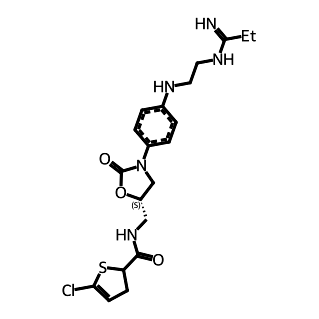 CCC(=N)NCCNc1ccc(N2C[C@H](CNC(=O)C3CC=C(Cl)S3)OC2=O)cc1